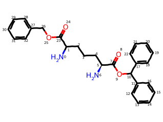 NC(CCC[C@H](N)C(=O)OC(c1ccccc1)c1ccccc1)C(=O)OCc1ccccc1